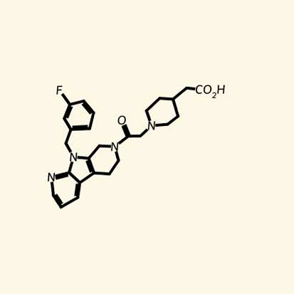 O=C(O)CC1CCN(CC(=O)N2CCc3c(n(Cc4cccc(F)c4)c4ncccc34)C2)CC1